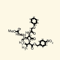 C=C(C)C(C(=O)OCc1ccc([N+](=O)[O-])cc1)N1C(=O)C(NC(=O)COc2ccccc2)C1[S+]([O-])NNC(=O)OC